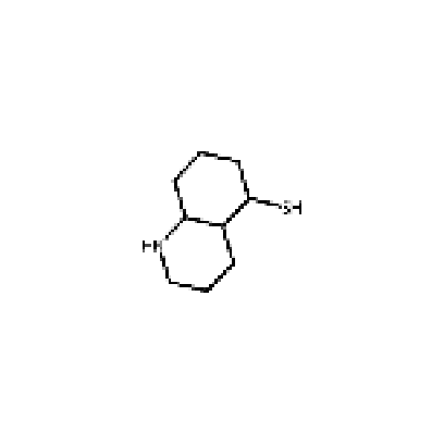 SC1CCCC2NCCCC12